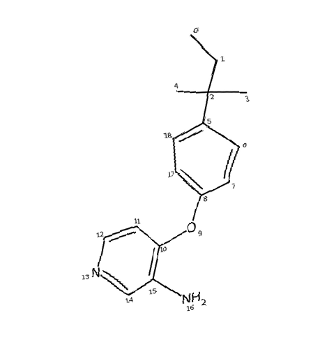 CCC(C)(C)c1ccc(Oc2ccncc2N)cc1